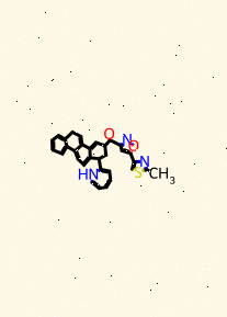 Cc1nc(-c2cc(C(=O)C3C=c4c(ccc5c4=CCc4ccccc4-5)C(C4=CC=CC=CN4)C3)no2)cs1